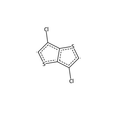 Clc1[c]sc2c(Cl)[c]sc12